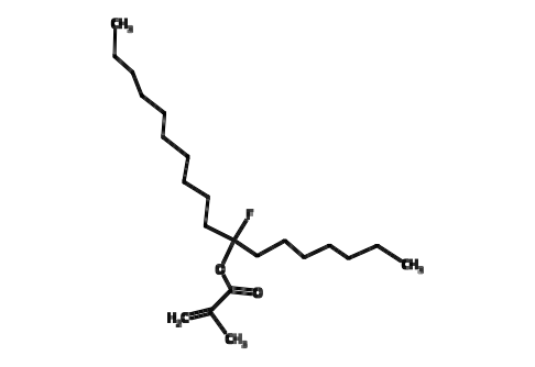 C=C(C)C(=O)OC(F)(CCCCCCC)CCCCCCCCCC